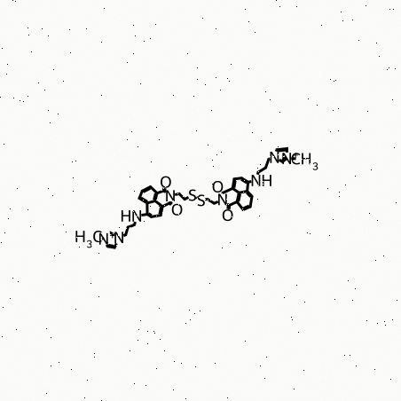 C[n+]1ccn(CCCNc2ccc3c4c(cccc24)C(=O)N(CCSSCCN2C(=O)c4cccc5c(NCCCn6cc[n+](C)c6)ccc(c45)C2=O)C3=O)c1